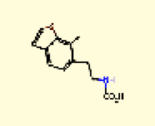 Cc1c(CCNC(=O)O)ccc2ccsc12